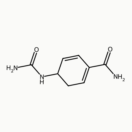 NC(=O)NC1C=CC(C(N)=O)=CC1